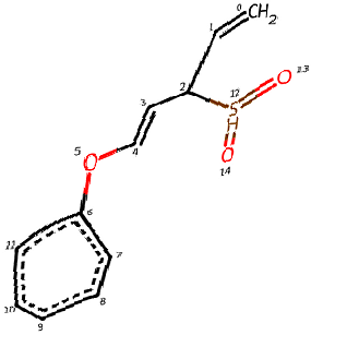 C=CC(C=COc1ccccc1)[SH](=O)=O